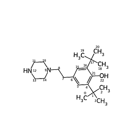 CC(C)(C)c1cc(CCN2CCNCC2)cc(C(C)(C)C)c1O